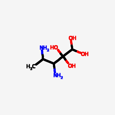 CC(N)C(N)C(O)(O)C(O)O